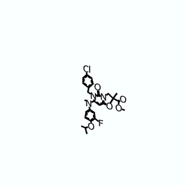 COC(=O)C(C)(C)Cn1c(=O)cc(N(C)c2ccc(OC(C)C)c(F)c2)n(Cc2ccc(Cl)cc2)c1=O